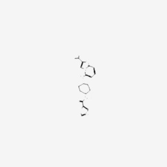 O=C(N[C@H]1CC[C@@H](Nc2cccc3nc(C(F)F)cn23)CC1)c1cncs1